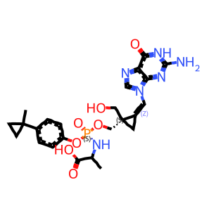 CC(N[P@](=O)(OC[C@@]1(CO)C/C1=C/n1cnc2c(=O)[nH]c(N)nc21)Oc1ccc(C2(C)CC2)cc1)C(=O)O